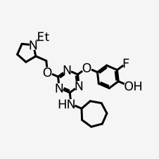 CCN1CCCC1COc1nc(NC2CCCCCC2)nc(Oc2ccc(O)c(F)c2)n1